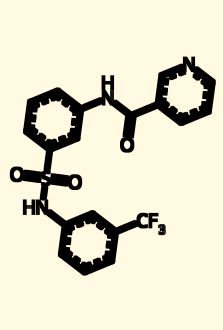 O=C(Nc1cccc(S(=O)(=O)Nc2cccc(C(F)(F)F)c2)c1)c1cccnc1